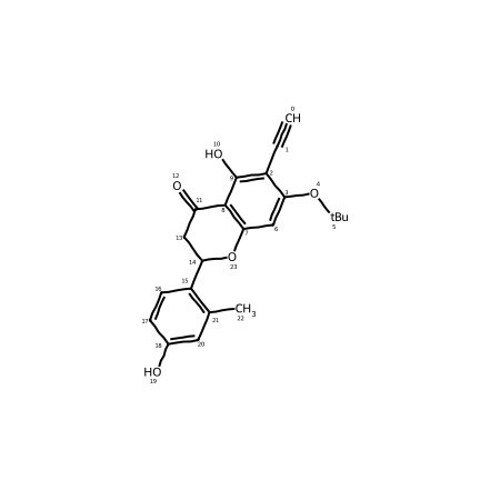 C#Cc1c(OC(C)(C)C)cc2c(c1O)C(=O)CC(c1ccc(O)cc1C)O2